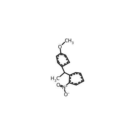 COc1ccc(C(C)c2ccccc2[N+](=O)[O-])cc1